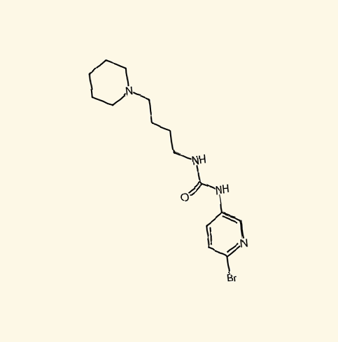 O=C(NCCCCN1CCCCC1)Nc1ccc(Br)nc1